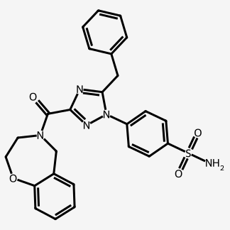 NS(=O)(=O)c1ccc(-n2nc(C(=O)N3CCOc4ccccc4C3)nc2Cc2ccccc2)cc1